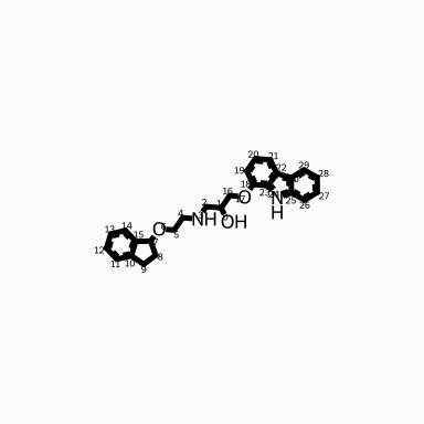 OC(CNCCOC1CCc2ccccc21)COc1cccc2c1[nH]c1ccccc12